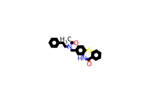 CC(=O)N(CCc1ccccc1)Cc1ccc2c(c1)NC(=O)c1ccccc1S2